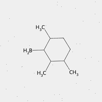 BC1C(C)CCC(C)C1C